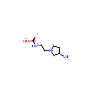 N[C@@H]1CCN(CCNC(=O)O)C1